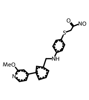 COc1cc(-c2cccc(CNc3ccc(SCC(=O)N=O)cc3)c2)ccn1